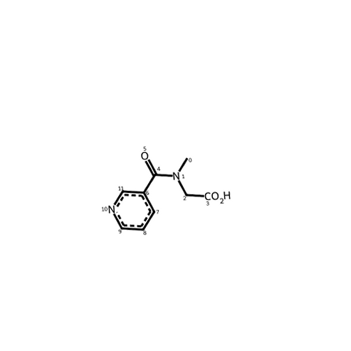 CN(CC(=O)O)C(=O)c1cccnc1